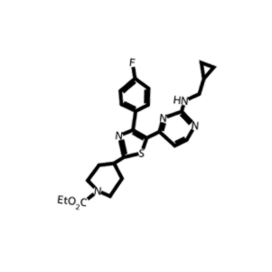 CCOC(=O)N1CCC(c2nc(-c3ccc(F)cc3)c(-c3ccnc(NCC4CC4)n3)s2)CC1